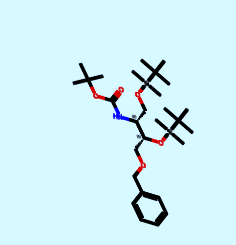 CC(C)(C)OC(=O)N[C@H](CO[Si](C)(C)C(C)(C)C)[C@@H](COCc1ccccc1)O[Si](C)(C)C(C)(C)C